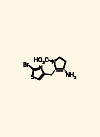 N[C@H]1CCN(C(=O)O)[C@H]1Cc1csc(Br)n1